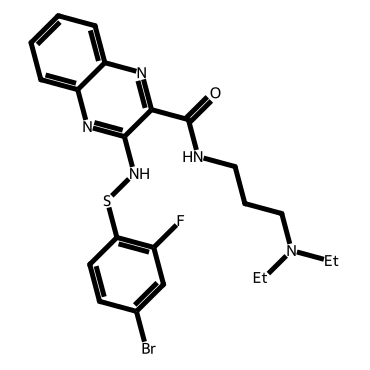 CCN(CC)CCCNC(=O)c1nc2ccccc2nc1NSc1ccc(Br)cc1F